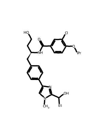 CCC(O)c1nc(-c2ccc(C[C@@H](CCO)NC(=O)c3ccc(OC(C)C)c(Cl)c3)cc2)cn1C